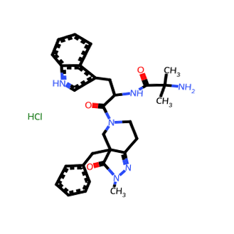 CN1N=C2CCN(C(=O)C(Cc3c[nH]c4ccccc34)NC(=O)C(C)(C)N)CC2(Cc2ccccc2)C1=O.Cl